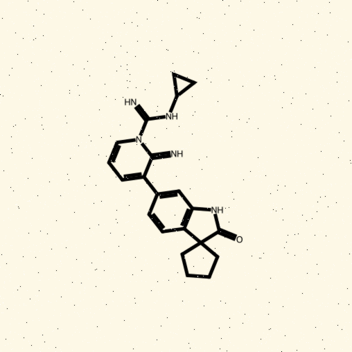 N=C(NC1CC1)n1cccc(-c2ccc3c(c2)NC(=O)C32CCCC2)c1=N